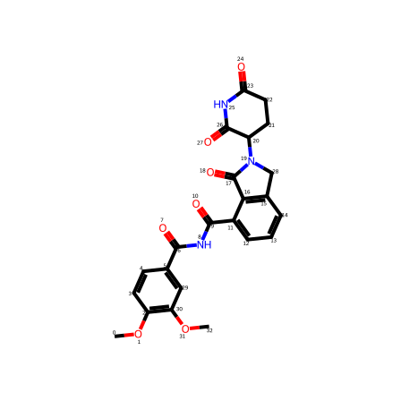 COc1ccc(C(=O)NC(=O)c2cccc3c2C(=O)N(C2CCC(=O)NC2=O)C3)cc1OC